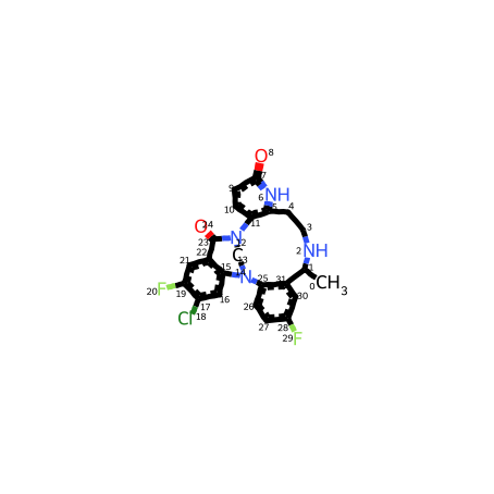 CC1NCCc2[nH]c(=O)ccc2N2CN(c3cc(Cl)c(F)cc3C2=O)c2ccc(F)cc21